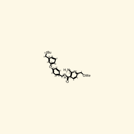 COCc1ccc(C(=O)NCc2ccc(Oc3cccc(CC(C)(C)C)c3)cc2)c(N)n1